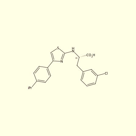 CC(C)c1ccc(-c2csc(N[C@@H](Cc3cccc(Cl)c3)C(=O)O)n2)cc1